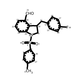 Cc1ccc(S(=O)(=O)N2CC(Cc3ccc(F)cc3)c3c(C=O)cccc32)cc1